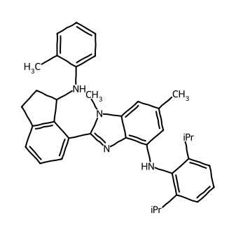 Cc1cc(Nc2c(C(C)C)cccc2C(C)C)c2nc(-c3cccc4c3C(Nc3ccccc3C)CC4)n(C)c2c1